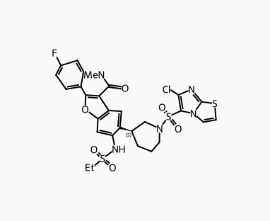 CCS(=O)(=O)Nc1cc2oc(-c3ccc(F)cc3)c(C(=O)NC)c2cc1[C@@H]1CCCN(S(=O)(=O)c2c(Cl)nc3sccn23)C1